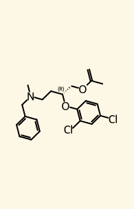 C=C(C)OC[C@@H](CCN(C)Cc1ccccc1)Oc1ccc(Cl)cc1Cl